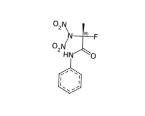 C[C@@](F)(C(=O)Nc1ccccc1)N([N+](=O)[O-])[N+](=O)[O-]